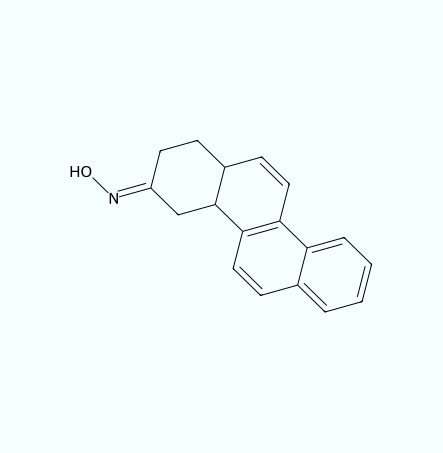 ON=C1CCC2C=Cc3c(ccc4ccccc34)C2C1